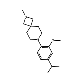 COc1cc(C(C)C)ccc1N1CCC2(CC1)CN(C)C2